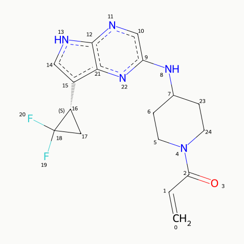 C=CC(=O)N1CCC(Nc2cnc3[nH]cc([C@@H]4CC4(F)F)c3n2)CC1